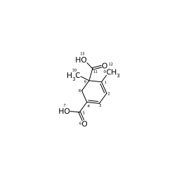 CC1=CC=C(C(=O)O)CC1(C)C(=O)O